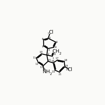 C=CC1(c2ccc(Cl)cc2)C=CC=C(N)C1c1ccc(Cl)cc1